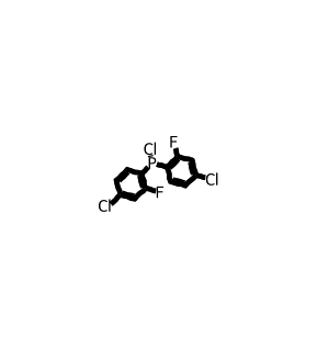 Fc1cc(Cl)ccc1P(Cl)c1ccc(Cl)cc1F